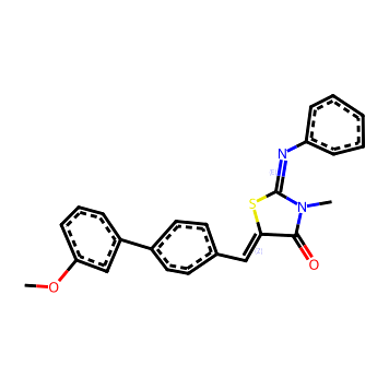 COc1cccc(-c2ccc(/C=C3\S/C(=N/c4ccccc4)N(C)C3=O)cc2)c1